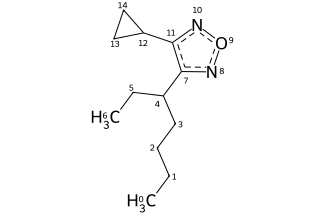 CCCCC(CC)c1nonc1C1CC1